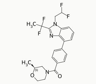 C[C@H]1CN(C(=O)c2ccc(-c3cccc4c3nc(C(C)(F)F)n4CC(F)F)cc2)CCO1